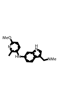 CNCc1c[nH]c2cc(Nc3ccc(OC)nc3C)ccc12